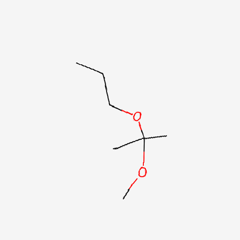 CCCOC(C)(C)OC